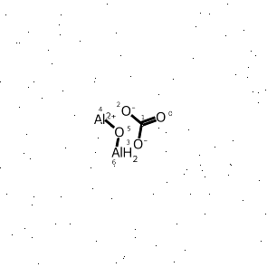 O=C([O-])[O-].[Al+2][O][AlH2]